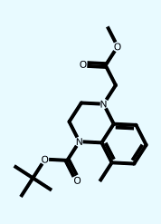 COC(=O)CN1CCN(C(=O)OC(C)(C)C)c2c(C)cccc21